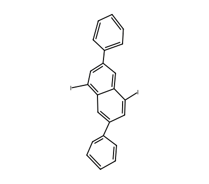 Ic1cc(-c2ccccc2)cc2c(I)cc(-c3ccccc3)cc12